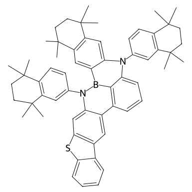 CC1(C)CCC(C)(C)c2cc(N3B4c5cc6c(cc5N(c5ccc7c(c5)C(C)(C)CCC7(C)C)c5cccc(c54)-c4cc5c(cc43)sc3ccccc35)C(C)(C)CCC6(C)C)ccc21